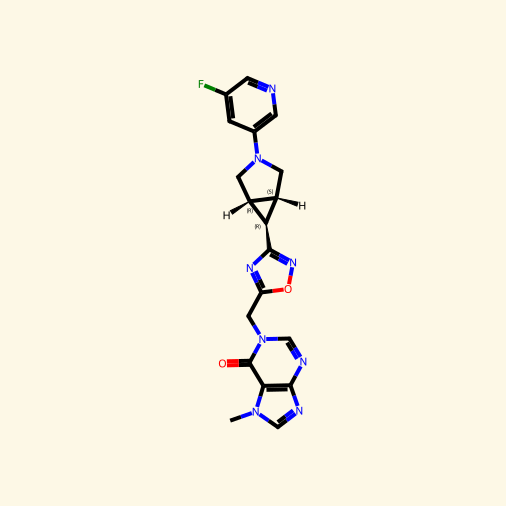 Cn1cnc2ncn(Cc3nc([C@H]4[C@@H]5CN(c6cncc(F)c6)C[C@@H]54)no3)c(=O)c21